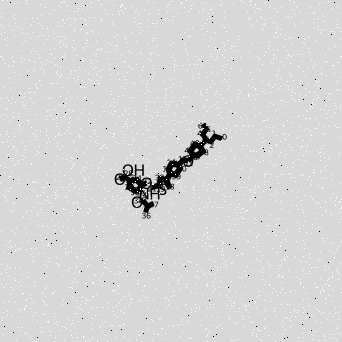 CCCC(CCC)c1ccc(OCc2ccc(-c3csc(COc4cc(C(=O)O)ccc4NC(=O)C(C)C)c3)cc2)cc1